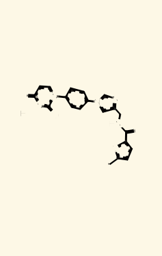 Cn1c(=O)ccn(-c2ccc(-n3cnc(CNC(=O)c4ccc(Cl)s4)c3)cc2)c1=O